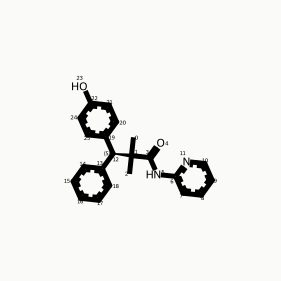 CC(C)(C(=O)Nc1ccccn1)[C@@H](c1ccccc1)c1ccc(O)cc1